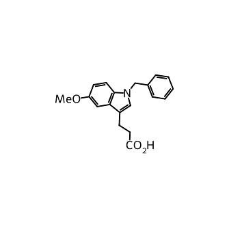 COc1ccc2c(c1)c(CCC(=O)O)cn2Cc1ccccc1